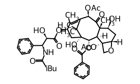 CCC(C)C(=O)N[C@@H](c1ccccc1)[C@@H](O)C(=O)O[C@@H]1C[C@]2(O)[C@@H](OC(=O)c3ccccc3)[C@@H]3[C@]4(OC(C)=O)CO[C@H]4C[C@H](O)[C@@]3(C)C(=O)[C@H](OC(C)=O)C(=C1C)C2(C)C